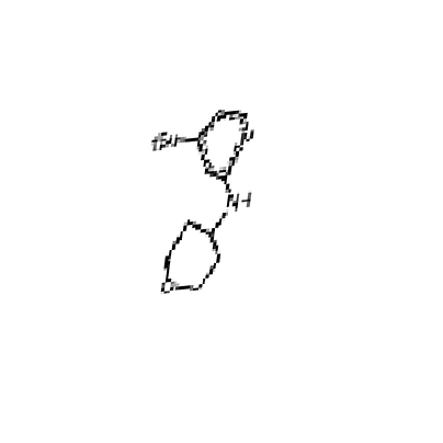 CC(C)(C)c1ccnc(NC2CCOCC2)c1